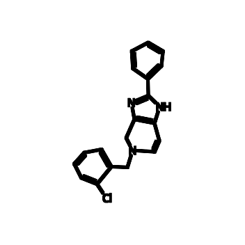 Clc1ccccc1CN1C=Cc2[nH]c(-c3ccccc3)nc2C1